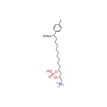 CCCCCCC(CCCCCCCCCCCC(C[N+](C)(C)C)OP(=O)([O-])O)c1ccc(I)cc1